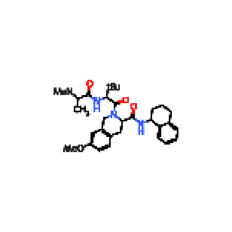 CNC(C)C(=O)NC(C(=O)N1Cc2cc(OC)ccc2CC1C(=O)NC1CCCc2ccccc21)C(C)(C)C